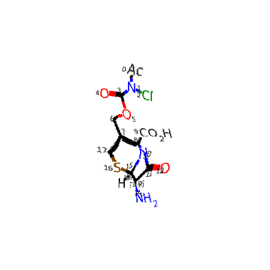 CC(=O)N(Cl)C(=O)OCC1=C(C(=O)O)N2C(=O)[C@@H](N)[C@H]2SC1